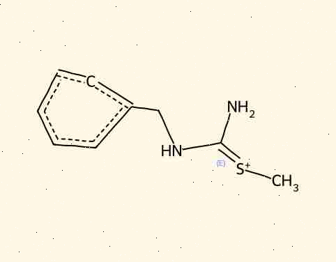 C/[S+]=C(\N)NCc1ccccc1